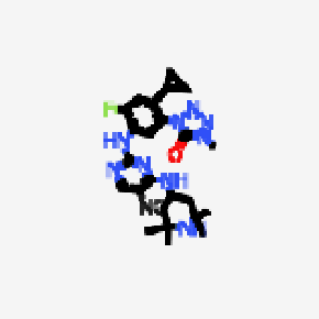 [C-]#[N+]c1cnc(Nc2cc(-n3nnn(C)c3=O)c(C3CC3)cc2F)nc1NC1CC(C)(C)NC(C)(C)C1